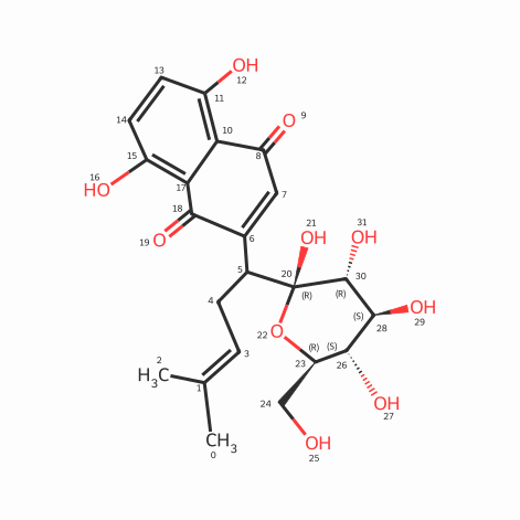 CC(C)=CCC(C1=CC(=O)c2c(O)ccc(O)c2C1=O)[C@@]1(O)O[C@H](CO)[C@@H](O)[C@H](O)[C@H]1O